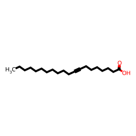 CCCCCCCCCCCC#CCCCCCCC(=O)O